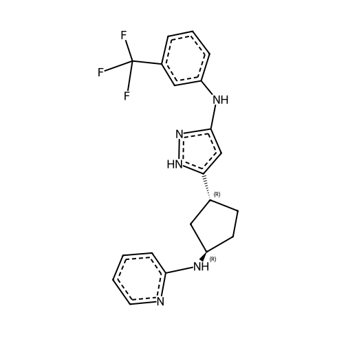 FC(F)(F)c1cccc(Nc2cc([C@@H]3CC[C@@H](Nc4ccccn4)C3)[nH]n2)c1